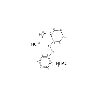 CC(=O)Nc1ccccc1CCC1CCCCN1C.Cl